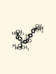 CNC(=O)n1ccc2cc(N(CCC(C)(C)O)c3ccnc(NC(=O)c4ccc(C5CCN(CC(C)(C)O)CC5)cc4)c3)ccc21